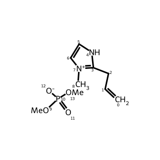 C=CCc1[nH]cc[n+]1C.COP(=O)([O-])OC